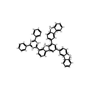 c1ccc(-c2nc(-c3ccccc3)nc(-c3cccc4c3oc3c(-c5ccc6oc7ccccc7c6c5)cc(-c5ccc6oc7ccccc7c6c5)cc34)n2)cc1